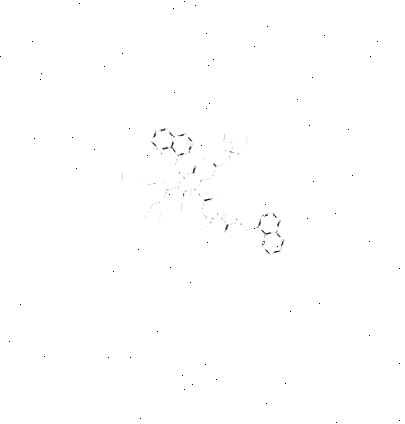 CCOC(OCC)C(C)N(Cc1cccc2cccnc12)C(=O)C(CC(=O)OC(C)(C)C)NC(=O)CN(C)NC(=O)NCc1cccc2ccccc12